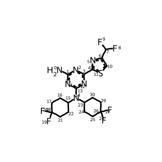 Nc1nc(-c2nc(C(F)F)cs2)nc(N(C2CCC(F)(F)CC2)C2CCC(F)(F)CC2)n1